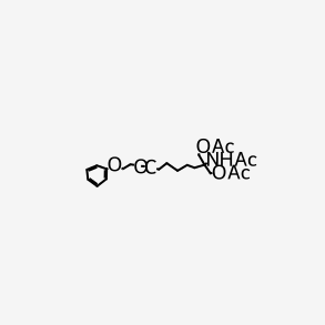 CC(=O)NC(CCCCCCOCCOc1ccccc1)(COC(C)=O)COC(C)=O